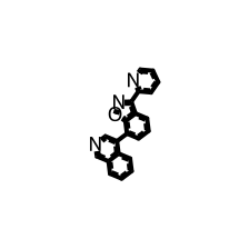 c1ccc(-c2noc3c(-c4cncc5ccccc45)cccc23)nc1